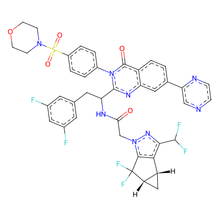 O=C(Cn1nc(C(F)F)c2c1C(F)(F)[C@H]1C[C@@H]21)NC(Cc1cc(F)cc(F)c1)c1nc2cc(-c3cnccn3)ccc2c(=O)n1-c1ccc(S(=O)(=O)N2CCOCC2)cc1